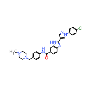 CN1CCN(Cc2ccc(NC(=O)c3ccc4nc(-c5cnn(-c6ccc(Cl)cc6)c5)[nH]c4c3)cc2)CC1